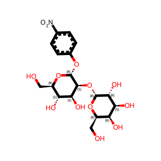 O=[N+]([O-])c1ccc(O[C@H]2O[C@H](CO)[C@@H](O)[C@H](O)[C@@H]2O[C@H]2O[C@H](CO)[C@H](O)[C@H](O)[C@H]2O)cc1